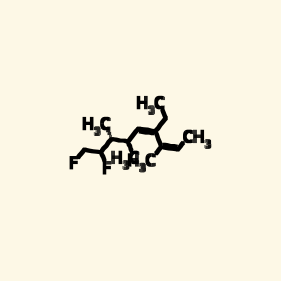 C/C=C(C)\C(=C/C(C)[C@@H](C)C(F)CF)CC